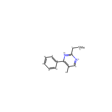 CSCc1ncc(C)c(-c2ccccc2)n1